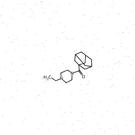 [CH2]CN1CCN(C(=O)C23CC4CC(CC(C4)C2)C3)CC1